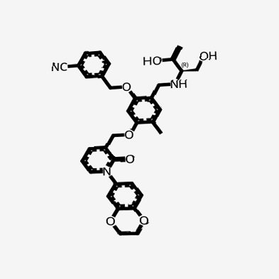 C=C(O)[C@@H](CO)NCc1cc(C)c(OCc2cccn(-c3ccc4c(c3)OCCO4)c2=O)cc1OCc1cccc(C#N)c1